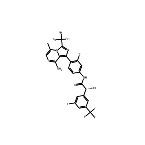 [2H]C([2H])([2H])c1nc(-c2ccc(NC(=O)[C@H](O)c3cc(F)cc(C(F)(F)F)c3)cc2F)c2c(N)ncc(C)n12